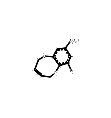 O=C(O)c1cc(Br)c2c(c1)OC/C=C\CO2